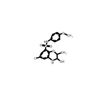 COc1ccc(NS(=O)(=O)c2cc(Cl)cc3c2OC(C)C(O)N3)cc1